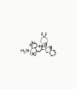 NC(=O)c1nncc2[nH]c(-c3cc4ccccc4nc3N3CCCC(F)(F)CC3)cc(=O)c12